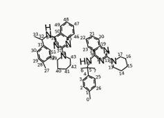 Cc1ccc(C(C)(C)Nc2nc(N3CCCCC3)nc3ccccc23)cc1.Cc1ccc(C(C)Nc2nc(N3CCCCC3)nc3ccccc23)cc1